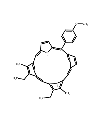 CCC1=C(C)c2cc3ccc([nH]3)c(-c3ccc(OC)cc3)c3nc(cc4[nH]c(cc1n2)c(CC)c4C)C=C3